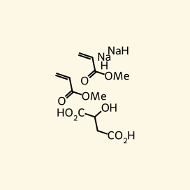 C=CC(=O)OC.C=CC(=O)OC.O=C(O)CC(O)C(=O)O.[NaH].[NaH]